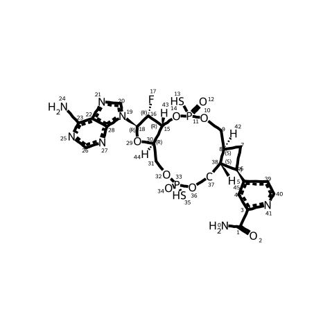 NC(=O)c1cc([C@@H]2C[C@@H]3COP(=O)(S)O[C@H]4[C@@H](F)[C@H](n5cnc6c(N)ncnc65)O[C@@H]4COP(=O)(S)OC[C@H]32)ccn1